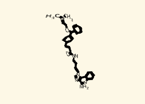 CN(C)CCOC(c1ccccc1)c1ccc(CCC(=O)NCCCCn2cnc3c(N)nc4ccccc4c32)cc1